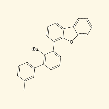 Cc1cccc(-c2cccc(-c3cccc4c3oc3ccccc34)c2C(C)(C)C)c1